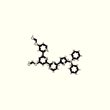 O=COc1ccnc(-c2cc(OC=O)cc(-c3nccc(-c4ccc(N(c5ccccc5)c5ccccc5)s4)n3)n2)c1